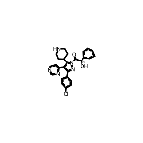 O=C([C@H](O)c1ccccc1)n1nc(-c2ccc(Cl)cc2)c(-c2ccncn2)c1C1CCNCC1